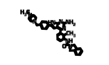 Cc1c(NC(=O)N2Cc3ccccc3C2)cccc1-c1nc(N)nc2[nH]c(-c3ccc(CN4CC5CC4CN5C)cc3)cc12